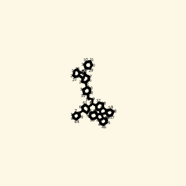 c1ccc(-c2ccc(C(CCc3ccc(-c4ccc5c(c4)c4ccccc4n5-c4ccccc4)cc3)c3ccc4c(c3)C3(c5ccccc5-c5ccccc53)c3ccccc3-4)cc2)cc1